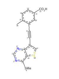 CSc1ncnc2c(C#Cc3cc(C(=O)O)ccc3C)csc12